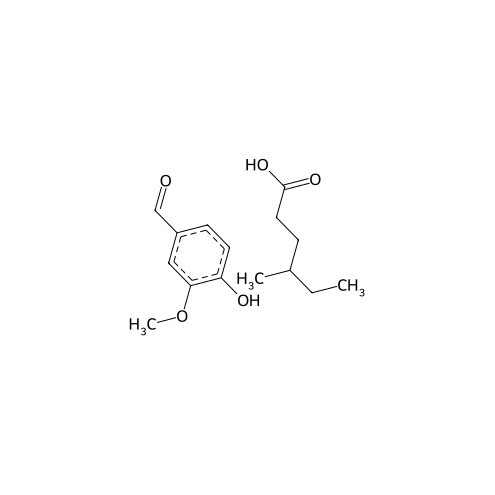 CCC(C)CCC(=O)O.COc1cc(C=O)ccc1O